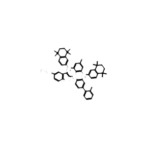 Cc1cc2c3c(c1)N(c1ccc4c(c1)C(C)(C)CCC4(C)C)c1c(oc4ccc(C(C)(C)C)cc14)B3c1ccc(-c3ccccc3C)cc1N2c1ccc2c(c1)C(C)(C)CCC2(C)C